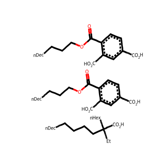 CCCCCCCCCCCCCCC(CC)(CCCCCC)C(=O)O.CCCCCCCCCCCCCOC(=O)c1ccc(C(=O)O)cc1C(=O)O.CCCCCCCCCCCCCOC(=O)c1ccc(C(=O)O)cc1C(=O)O